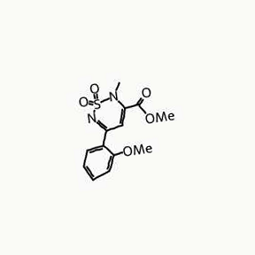 COC(=O)C1=CC(c2ccccc2OC)=NS(=O)(=O)N1C